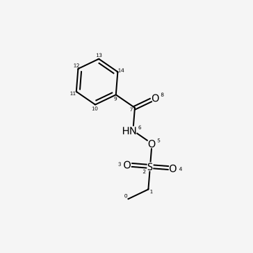 CCS(=O)(=O)ONC(=O)c1ccccc1